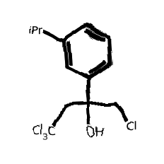 CC(C)c1cccc(C(O)(CCl)CC(Cl)(Cl)Cl)c1